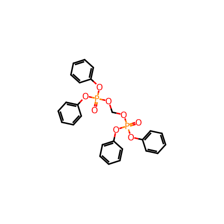 O=P(OCOP(=O)(Oc1ccccc1)Oc1ccccc1)(Oc1ccccc1)Oc1ccccc1